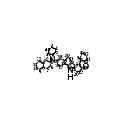 c1ccc(N(c2ccc3ccccc3c2)c2ccc3c(ccc4c3[nH]c3ccc5oc6ccccc6c5c34)c2)cc1